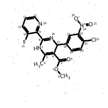 COC(=O)C1=C(C)NC(c2ncccc2F)=NC1c1ccc(Cl)c([N+](=O)[O-])c1